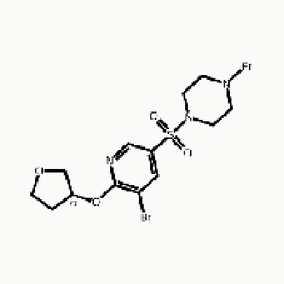 CCN1CCN(S(=O)(=O)c2cnc(O[C@H]3CCOC3)c(Br)c2)CC1